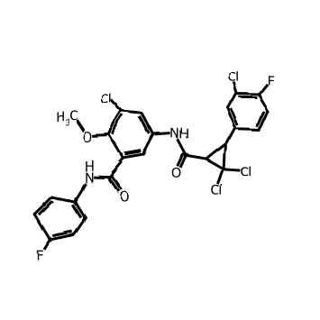 COc1c(Cl)cc(NC(=O)C2C(c3ccc(F)c(Cl)c3)C2(Cl)Cl)cc1C(=O)Nc1ccc(F)cc1